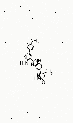 CC1CC(=O)NN=C1c1ccc2[nH]c(-c3cc(-c4ccc(N)nc4)cnc3N)nc2c1